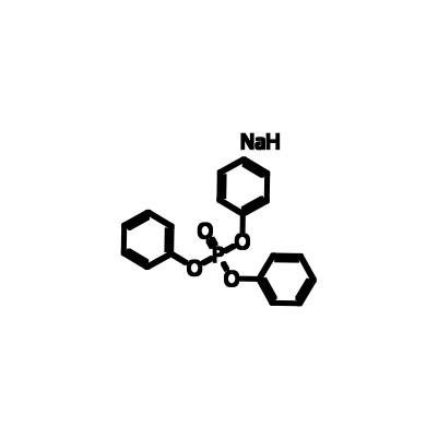 O=P(Oc1ccccc1)(Oc1ccccc1)Oc1ccccc1.[NaH]